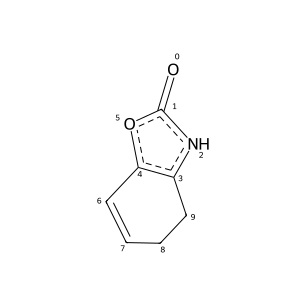 O=c1[nH]c2c(o1)C=CCC2